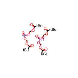 CC(C)(C)C(=O)OCO[PH](=O)OCOC(=O)C(C)(C)C.CC(C)(C)C(=O)OCO[PH](=O)OCOC(=O)C(C)(C)C